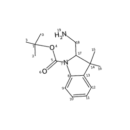 CC(C)(C)OC(=O)N1c2ccccc2C(C)(C)C1CN